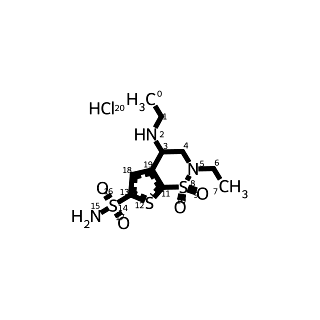 CCNC1CN(CC)S(=O)(=O)c2sc(S(N)(=O)=O)cc21.Cl